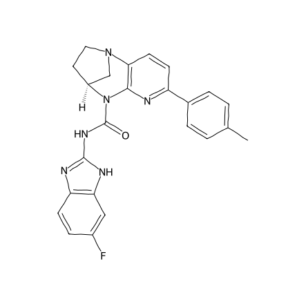 Cc1ccc(-c2ccc3c(n2)N(C(=O)Nc2nc4ccc(F)cc4[nH]2)[C@H]2CCN3C2)cc1